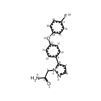 NC(=O)Cn1nccc1-c1ccc(Oc2ccc(F)cc2)cc1